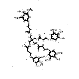 CC(C)(C)c1cc(OCCC(=O)OCC(COC(=O)CCOc2cc(C(C)(C)C)c(O)c(C(C)(C)C)c2)(COC(=O)CCOc2cc(C(C)(C)C)c(O)c(C(C)(C)C)c2)COC(=O)CCOc2cc(C(C)(C)C)c(O)c(C(C)(C)C)c2)cc(C(C)(C)C)c1O.[P]